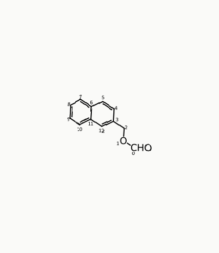 O=COCc1ccc2ccccc2c1